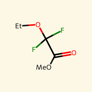 CCOC(F)(F)C(=O)OC